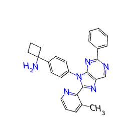 Cc1cccnc1-c1nc2cnc(-c3ccccc3)nc2n1-c1ccc(C2(N)CCC2)cc1